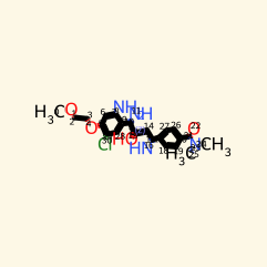 COCCOc1cc(N)c(C(=N)/C(O)=C/C(=N)c2ccc(C(=O)N(C)C)cc2)cc1Cl